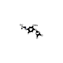 CCN(C)/C=N/c1cc(OC)c(Oc2nc(Cl)c(Cl)s2)cc1C